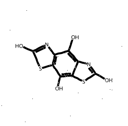 Oc1nc2c(O)c3nc(O)sc3c(O)c2s1